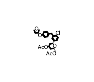 CC(=O)OC[C@@H]1C[C@H](OC(C)=O)C[C@H](c2ccc(Cl)c(Cc3ccc(O[C@H]4CCOC4)cc3)c2)O1